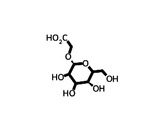 O=C(O)CO[C@@H]1OC(CO)[C@@H](O)C(O)C1O